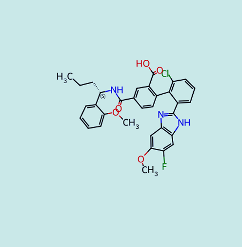 CCC[C@H](NC(=O)c1ccc(-c2c(Cl)cccc2-c2nc3cc(OC)c(F)cc3[nH]2)c(C(=O)O)c1)c1ccccc1OC